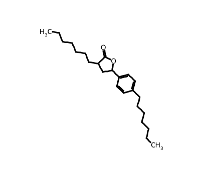 CCCCCCCc1ccc(C2CC(CCCCCCC)C(=O)O2)cc1